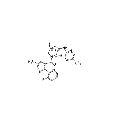 Cc1cnc(-c2ncccc2F)c(C(=O)N2C[C@@H]3C[C@@H](Nc4ccc(C(F)(F)F)cn4)[C@@H]2C3)c1